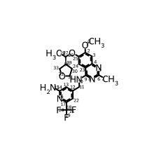 COc1cc2nc(C)nc(NCc3cc(N)nc(C(F)(F)F)c3)c2cc1OC(C)[C@H]1CCOC1